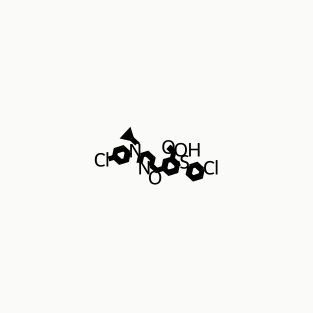 O=C(c1ccc(Sc2cccc(Cl)c2)c(C(=O)O)c1)c1ccc(N(CC2CC2)c2ccc(Cl)cc2)cn1